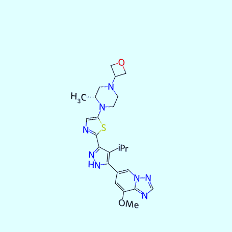 COc1cc(-c2[nH]nc(-c3ncc(N4CCN(C5COC5)C[C@H]4C)s3)c2C(C)C)cn2ncnc12